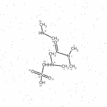 CN(C)C=O.CNC.CNC.O=S(=O)(O)O